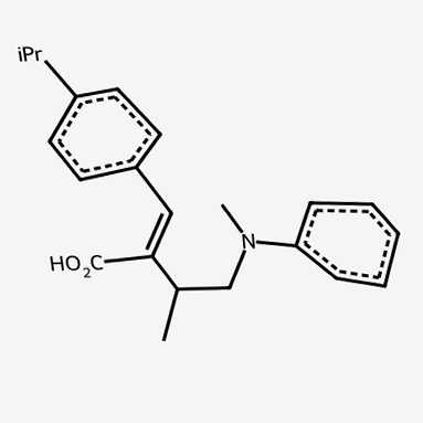 CC(CN(C)c1ccccc1)C(=Cc1ccc(C(C)C)cc1)C(=O)O